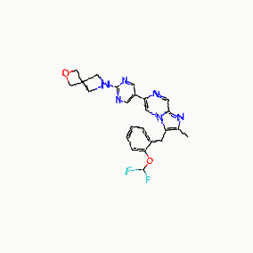 Cc1nc2cnc(-c3cnc(N4CC5(COC5)C4)nc3)cn2c1Cc1ccccc1OC(F)F